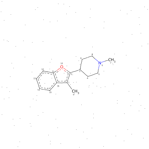 Cc1c(C2CCN(C)CC2)oc2ccccc12